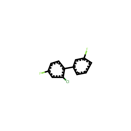 Fc1cccc(-c2ccc(F)cc2Cl)c1